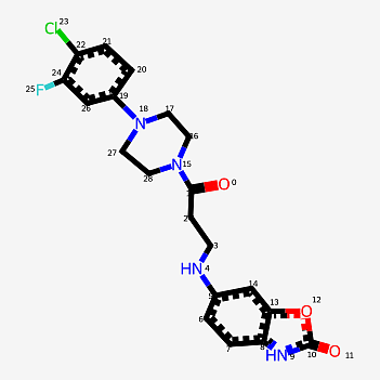 O=C(CCNc1ccc2[nH]c(=O)oc2c1)N1CCN(c2ccc(Cl)c(F)c2)CC1